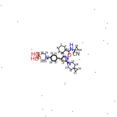 N#CC1(NC(=O)[C@@H]2CCCC[C@H]2c2nc(N3CCC4(CC3)CC4)sc2-c2ccc(N3CCS(O)(O)CC3)cc2)CC1